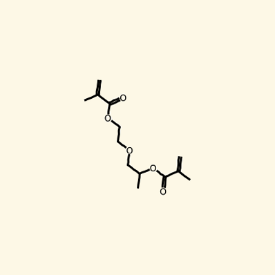 C=C(C)C(=O)OCCOCC(C)OC(=O)C(=C)C